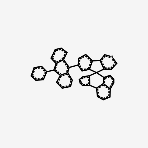 c1ccc(-c2c3ccccc3c(-c3ccc4c(c3)C3(c5ccncc5-4)c4ccccc4-c4cccc5cccc3c45)c3ccccc23)cc1